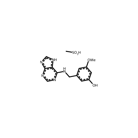 COc1cc(O)cc(CNc2ncnc3nc[nH]c23)c1.CS(=O)(=O)O